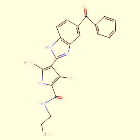 Cc1[nH]c(C(=O)NCCC=O)c(C)c1-c1nc2cc(C(=O)c3ccccc3)ccc2[nH]1